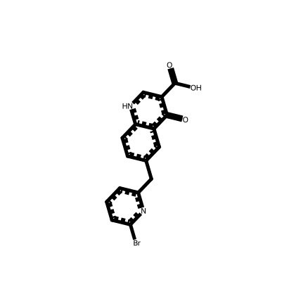 O=C(O)c1c[nH]c2ccc(Cc3cccc(Br)n3)cc2c1=O